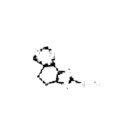 CC(=O)Nc1nc2c(s1)-c1ncncc1CC2